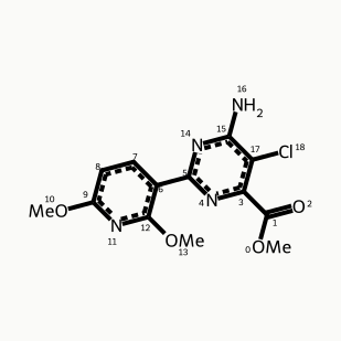 COC(=O)c1nc(-c2ccc(OC)nc2OC)nc(N)c1Cl